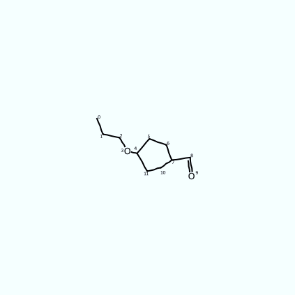 CCCOC1CCC(C=O)CC1